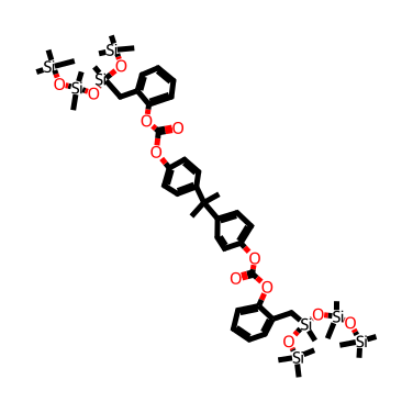 CC(C)(c1ccc(OC(=O)Oc2ccccc2C[Si](C)(O[Si](C)(C)C)O[Si](C)(C)O[Si](C)(C)C)cc1)c1ccc(OC(=O)Oc2ccccc2C[Si](C)(O[Si](C)(C)C)O[Si](C)(C)O[Si](C)(C)C)cc1